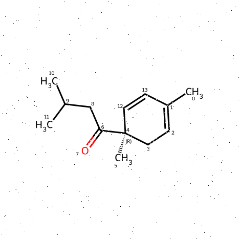 CC1=CC[C@@](C)(C(=O)CC(C)C)C=C1